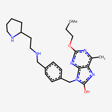 COCCOc1nc(C)c2nc(O)n(Cc3ccc(CNCCC4CCCCN4)cc3)c2n1